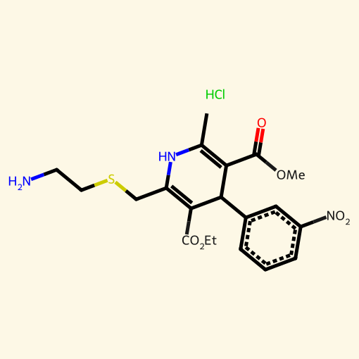 CCOC(=O)C1=C(CSCCN)NC(C)=C(C(=O)OC)C1c1cccc([N+](=O)[O-])c1.Cl